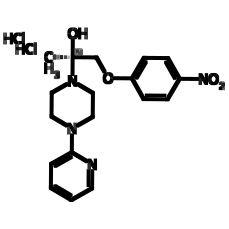 C[C@](O)(COc1ccc([N+](=O)[O-])cc1)N1CCN(c2ccccn2)CC1.Cl.Cl